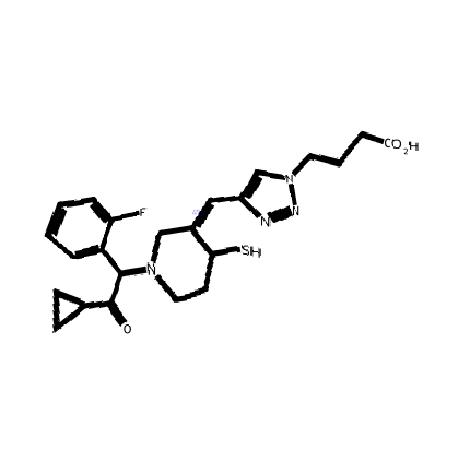 O=C(O)CCCn1cc(/C=C2/CN(C(C(=O)C3CC3)c3ccccc3F)CCC2S)nn1